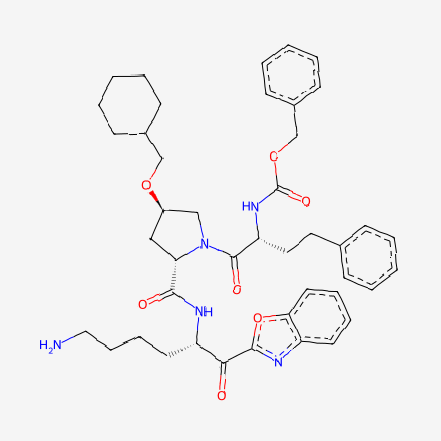 NCCCC[C@H](NC(=O)[C@@H]1C[C@@H](OCC2CCCCC2)CN1C(=O)[C@@H](CCc1ccccc1)NC(=O)OCc1ccccc1)C(=O)c1nc2ccccc2o1